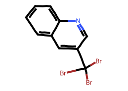 BrC(Br)(Br)c1cnc2ccccc2c1